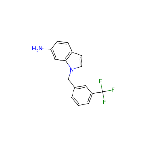 Nc1ccc2ccn(Cc3cccc(C(F)(F)F)c3)c2c1